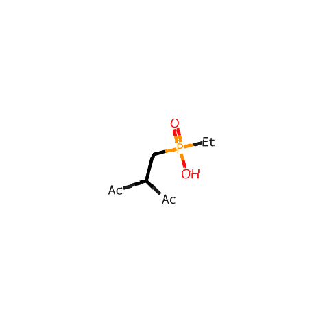 CCP(=O)(O)CC(C(C)=O)C(C)=O